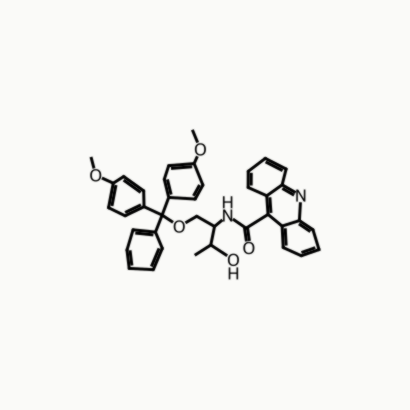 COc1ccc(C(OCC(NC(=O)c2c3ccccc3nc3ccccc23)C(C)O)(c2ccccc2)c2ccc(OC)cc2)cc1